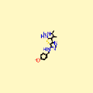 COc1ccc(CNc2ncnc3c2SC(=N)/C3=C(/C)C(C)=N)cc1